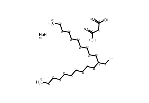 O=C(O)CC(=O)O.[Li][CH2]C(CCCCCCCCCC)CCCCCCCCCC.[NaH]